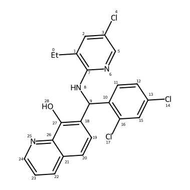 CCc1cc(Cl)cnc1NC(c1ccc(Cl)cc1Cl)c1ccc2cccnc2c1O